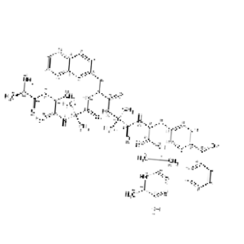 C=C(NC(C)(C)C(=O)NC(Cc1ccc2ccccc2c1)C(=O)NC(C)(C)C(=O)NC(Cc1ccc(C(=O)c2ccccc2)cc1)C(=O)NC(C)(C)C(=O)NC(C)C(=O)O)C(C)NC(=O)[C@@H](C)N